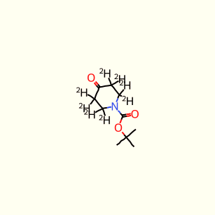 [2H]C1([2H])C(=O)C([2H])([2H])C([2H])([2H])N(C(=O)OC(C)(C)C)C1([2H])[2H]